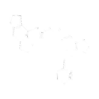 O=C(Nc1c2c(cc3c1CCC3)CCC2)NS(=O)(=O)/C=C/C1CCCN1S(=O)(=O)Cc1ccccc1